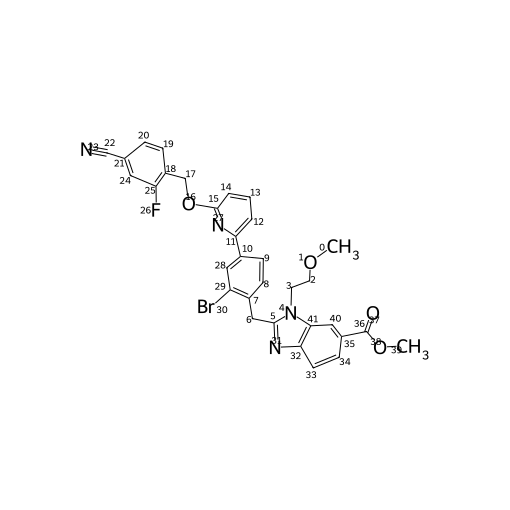 COCCn1c(Cc2ccc(-c3cccc(OCc4ccc(C#N)cc4F)n3)cc2Br)nc2ccc(C(=O)OC)cc21